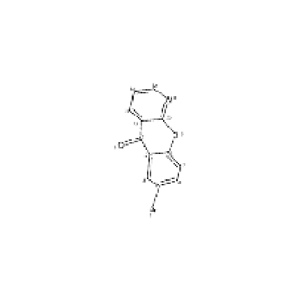 O=c1c2cc(Br)ccc2oc2ncccc12